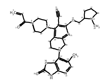 C=CC(=O)N1CCN(c2c(C#N)c(OCC3CCCN3C)nc3c2CCN(c2c(C)cnc4[nH]c(=O)oc24)C3)CC1